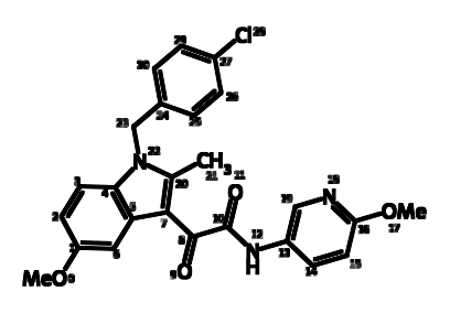 COc1ccc2c(c1)c(C(=O)C(=O)Nc1ccc(OC)nc1)c(C)n2Cc1ccc(Cl)cc1